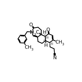 CC1=CC(=O)[C@H]2[C@@H](CCC3=CN(Cc4cccc(C)c4)C(=O)CC[C@@]32C)[C@@H]1CCC#N